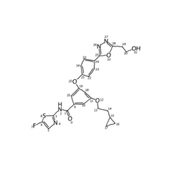 O=C(Nc1ncc(F)s1)c1cc(OCCC2CC2)cc(Oc2ccc(-c3nnc(CCO)o3)cc2)c1